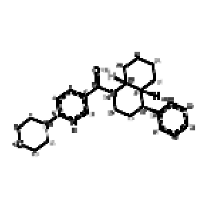 O=C(c1ccc(N2CCOCC2)nc1)N1CC[C@H](c2ccccc2)[C@H]2CCCC[C@H]21